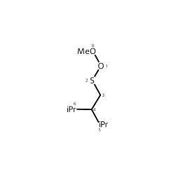 COOSCC(C(C)C)C(C)C